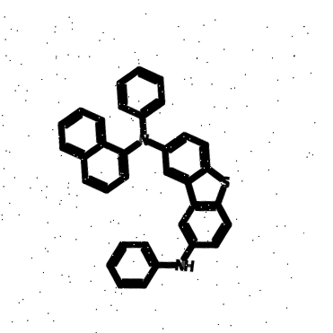 c1ccc(Nc2ccc3sc4ccc(N(c5ccccc5)c5cccc6ccccc56)cc4c3c2)cc1